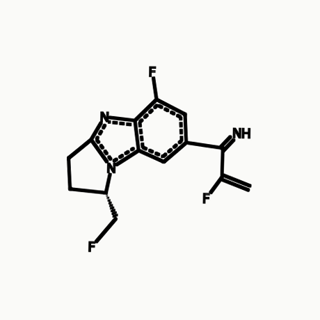 C=C(F)C(=N)c1cc(F)c2nc3n(c2c1)[C@H](CF)CC3